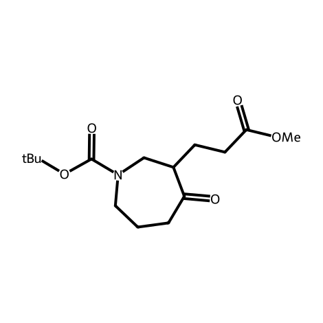 COC(=O)CCC1CN(C(=O)OC(C)(C)C)CCCC1=O